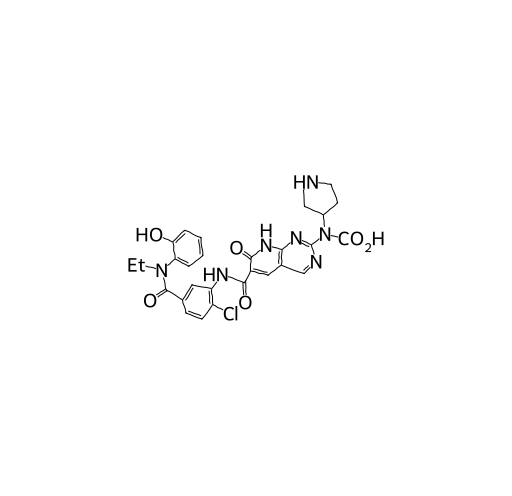 CCN(C(=O)c1ccc(Cl)c(NC(=O)c2cc3cnc(N(C(=O)O)C4CCNCC4)nc3[nH]c2=O)c1)c1ccccc1O